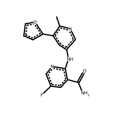 Cc1ncc(Nc2ncc(F)cc2C(N)=O)cc1-c1ccco1